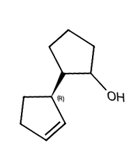 OC1CCCC1[C@H]1C=CCC1